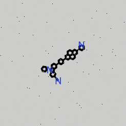 N#Cc1ccc2c(c1)c1cc(-c3ccc(-c4cc5ccc6cc(-c7cccnc7)cc7ccc(c4)c5c67)cc3)ccc1n2-c1ccccc1